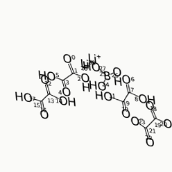 O=C(O)C(=O)O.O=C(O)C(=O)O.O=C(O)C(=O)O.O=C([O-])C(=O)[O-].OB(O)O.[Li+].[Li+]